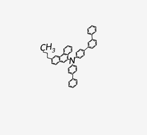 CCCCc1ccc2cc(N(c3ccc(-c4ccccc4)cc3)c3ccc(-c4cccc(-c5ccccc5)c4)cc3)c3ccccc3c2c1